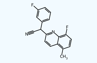 Cc1ccc(F)c2nc(C(C#N)c3cccc(F)c3)ccc12